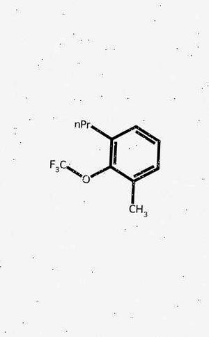 [CH2]CCc1cccc(C)c1OC(F)(F)F